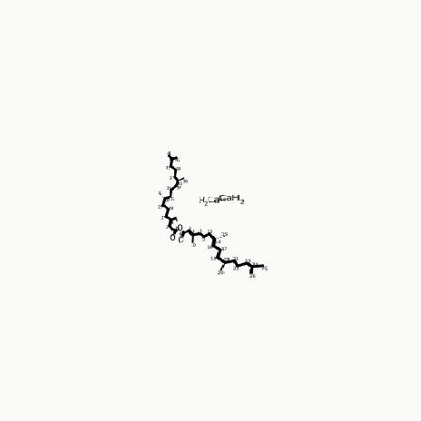 C/C(=C\C(=O)OC(=O)/C=C(\C)CCC[C@H](C)CCC[C@H](C)CCCC(C)C)CCC[C@H](C)CCC[C@H](C)CCCC(C)C.[CaH2].[CaH2]